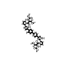 COC(=O)N[C@H](C(=O)N1CCC[C@H]1C1=NC(c2cnc(-c3ccc(-c4cnc([C@@H]5CCCN5C(=O)[C@@H](NC(=O)OC)[C@@H](C)OC)[nH]4)c(F)c3)nc2)CN1)[C@@H](C)OC